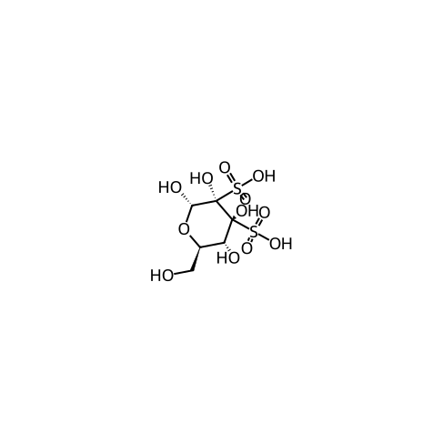 O=S(=O)(O)[C@]1(O)[C@H](O)[C@@H](CO)O[C@H](O)[C@@]1(O)S(=O)(=O)O